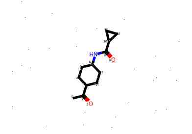 CC(=O)C1CCC(NC(=O)C2CC2)CC1